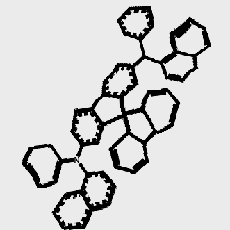 C1=CCCC(N(c2ccc3c(c2)C2(c4cc(C(C5=C6C=CC=CC6CC=C5)c5ccccc5)ccc4-3)C3C=CC=CC3C3C=CC=CC32)c2cccc3ccccc23)=C1